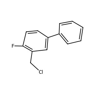 Fc1ccc(-c2ccccc2)cc1CCl